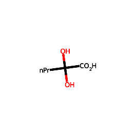 CCCC(O)(O)C(=O)O